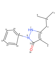 Cc1c(CC(C)C)[nH]n(-c2ccccc2)c1=O